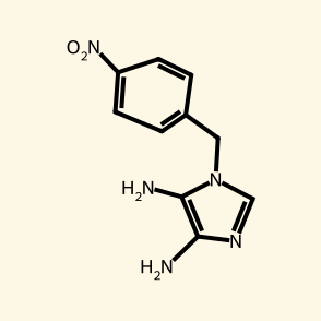 Nc1ncn(Cc2ccc([N+](=O)[O-])cc2)c1N